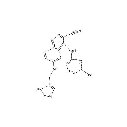 N#Cc1cnc2ccc(NCc3cnc[nH]3)cc2c1Nc1cccc(Br)c1